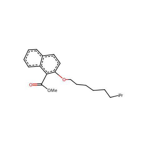 COC(=O)c1c(OCCCCCCC(C)C)ccc2ccccc12